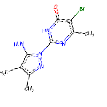 Cc1nn(-c2nc(C)c(Br)c(=O)[nH]2)c(N)c1C